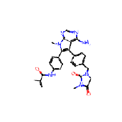 C=C(C)C(=O)Nc1ccc(-c2c(-c3ccc(CN4CC(=O)N(C)C4=O)cc3)c3c(N)ncnc3n2C)cc1